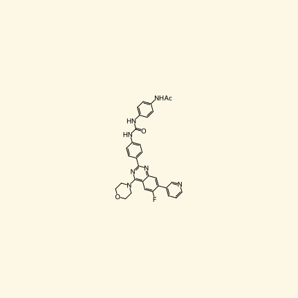 CC(=O)Nc1ccc(NC(=O)Nc2ccc(-c3nc(N4CCOCC4)c4cc(F)c(-c5cccnc5)cc4n3)cc2)cc1